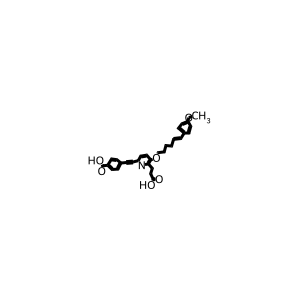 COc1ccc(/C=C/CCCCOc2ccc(C#Cc3ccc(C(=O)O)cc3)nc2CCC(=O)O)cc1